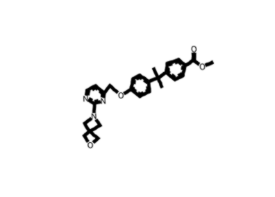 COC(=O)c1ccc(C(C)(C)c2ccc(OCc3ccnc(N4CC5(COC5)C4)n3)cc2)cc1